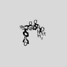 CCC(N)C(=O)N1CC(=O)C2C1CCN2C(=O)C(CC(C)C)NC(=O)c1ccc(N2CCOCC2)cc1